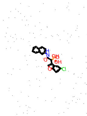 O=C(Nc1ccc2ccccc2c1)C(c1coc2ccc(Cl)cc12)P(=O)(O)O